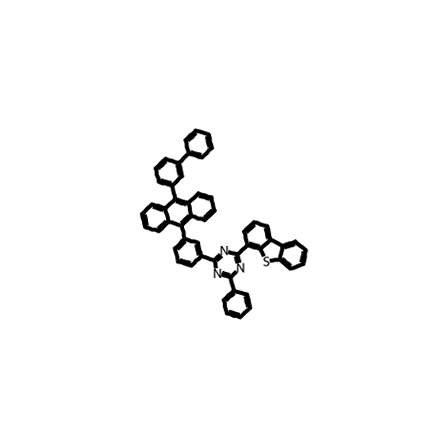 c1ccc(-c2cccc(-c3c4ccccc4c(-c4cccc(-c5nc(-c6ccccc6)nc(-c6cccc7c6sc6ccccc67)n5)c4)c4ccccc34)c2)cc1